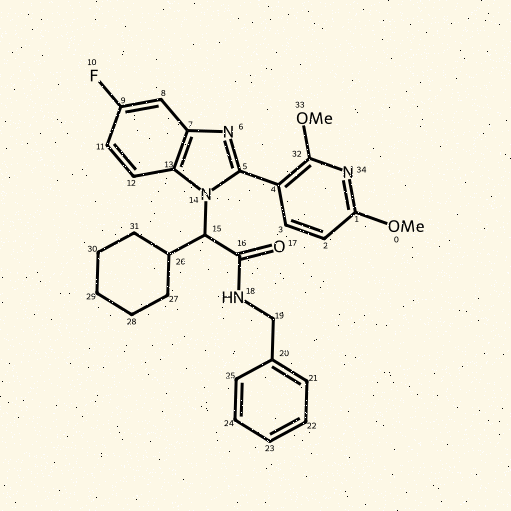 COc1ccc(-c2nc3cc(F)ccc3n2C(C(=O)NCc2ccccc2)C2CCCCC2)c(OC)n1